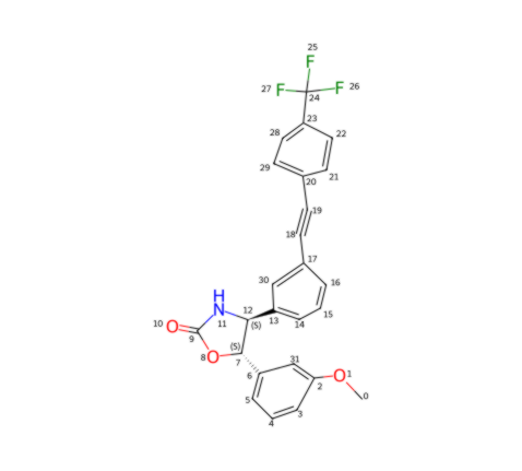 COc1cccc([C@@H]2OC(=O)N[C@H]2c2cccc(C#Cc3ccc(C(F)(F)F)cc3)c2)c1